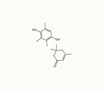 CC1=CC(=O)CC(C)(C)C1.Cc1cc(O)c(C)c(C)c1O